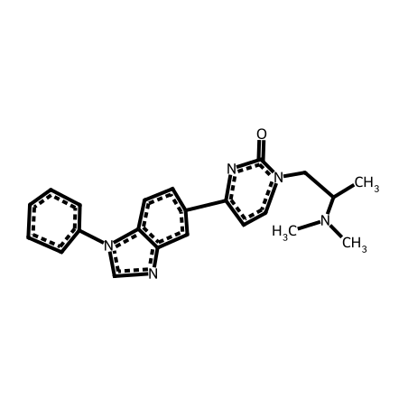 CC(Cn1ccc(-c2ccc3c(c2)ncn3-c2ccccc2)nc1=O)N(C)C